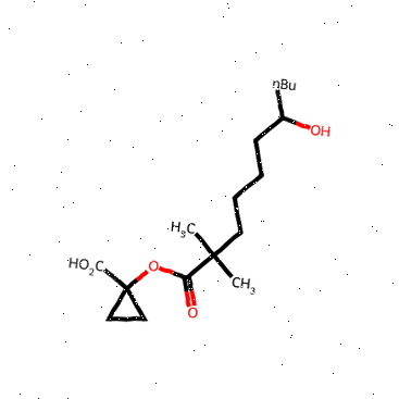 CCCCC(O)CCCCC(C)(C)C(=O)OC1(C(=O)O)CC1